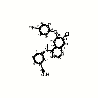 C#Cc1cccc(Nc2ncnc3cc(Cl)c(Oc4ccc(F)cc4)cc23)c1